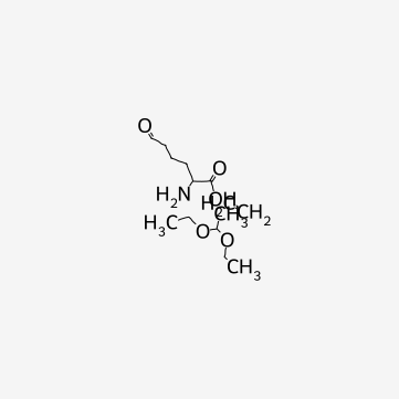 C=C.CCOC(C)OCC.NC(CCCC=O)C(=O)O